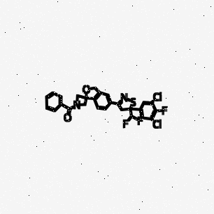 O=C(c1ccccc1)N1CC2(C1)OCc1cc(C3=NSC(c4cc(Cl)c(F)c(Cl)c4)(C(F)F)C3)ccc12